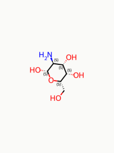 N[C@H]1[C@H](O)[C@H](O)[C@H](CO)O[C@@H]1O